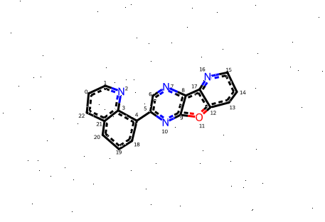 c1cnc2c(-c3cnc4c(n3)oc3cccnc34)cccc2c1